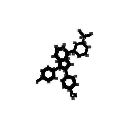 Cc1ccc(-c2c(-c3ccc(C#N)cc3)cc3c(N4CCC[C@@H](N(C)C)C4)nncn23)cc1